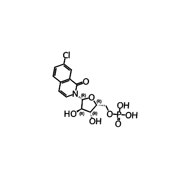 O=c1c2cc(Cl)ccc2ccn1[C@@H]1O[C@H](COP(=O)(O)O)[C@H](O)[C@H]1O